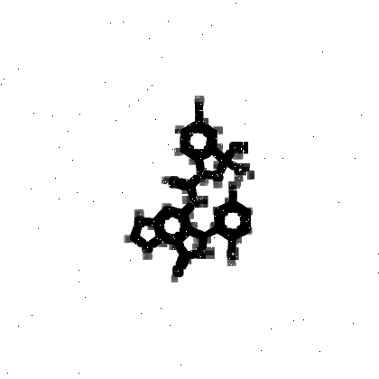 O=C1N[C@H](c2cc(F)ccc2Cl)c2c(NC(=O)N3O[C@](O)(C(F)(F)F)c4cc(F)ccc43)cc3c(c21)OCO3